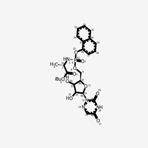 CC(C)COC(=O)[C@H](C)N[P@](=O)(OC[C@H]1O[C@@H](n2ncc(=O)[nH]c2=O)C(O)C1O)Oc1cccc2ccccc12